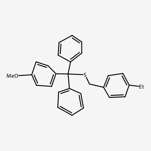 CCc1ccc(CSC(c2ccccc2)(c2ccccc2)c2ccc(OC)cc2)cc1